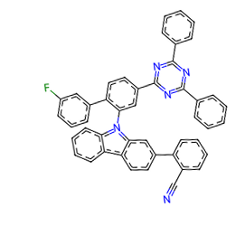 N#Cc1ccccc1-c1ccc2c3ccccc3n(-c3cc(-c4nc(-c5ccccc5)nc(-c5ccccc5)n4)ccc3-c3cccc(F)c3)c2c1